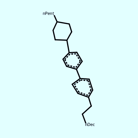 CCCCCCCCCCCCc1ccc(-c2ccc(C3CCC(CCCCC)CC3)cc2)cc1